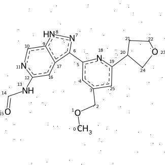 COCc1cc(-c2n[nH]c3cnc(NC=O)cc23)nc(C2CCOC2)c1